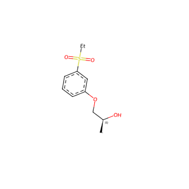 [CH2][C@H](O)COc1cccc(S(=O)(=O)CC)c1